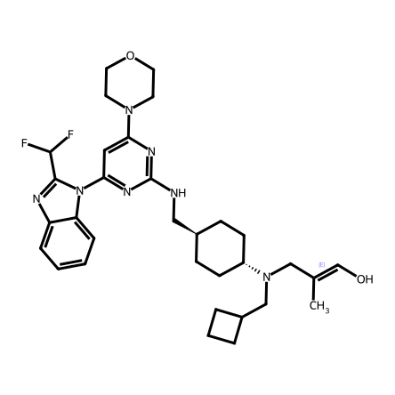 C/C(=C\O)CN(CC1CCC1)[C@H]1CC[C@H](CNc2nc(N3CCOCC3)cc(-n3c(C(F)F)nc4ccccc43)n2)CC1